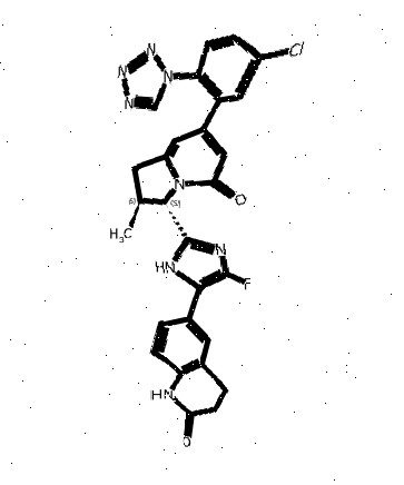 C[C@H]1Cc2cc(-c3cc(Cl)ccc3-n3cnnn3)cc(=O)n2[C@@H]1c1nc(F)c(-c2ccc3c(c2)CCC(=O)N3)[nH]1